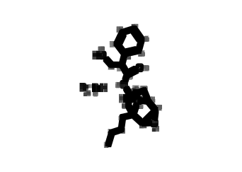 Br.CCCCC12CC(OC(=O)C(CO)c3ccccc3)CC(C3OC31)[N+]2(C)N.[Br-]